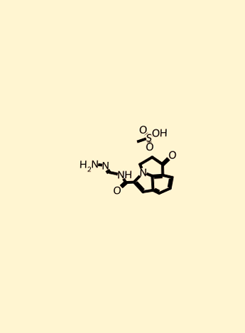 CS(=O)(=O)O.NN=CNC(=O)c1cc2cccc3c2n1CCC3=O